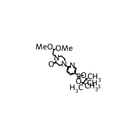 COC(CN1CCN(c2ccc(B3OC(C)(C)C(C)(C)O3)cn2)CC1=O)OC